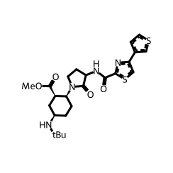 COC(=O)[C@@H]1C[C@H](NC(C)(C)C)CC[C@@H]1N1CCC(NC(=O)c2nc(-c3ccsc3)cs2)C1=O